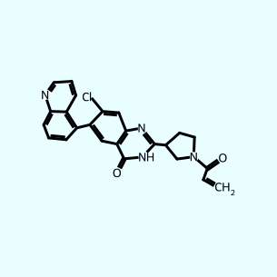 C=CC(=O)N1CCC(c2nc3cc(Cl)c(-c4cccc5ncccc45)cc3c(=O)[nH]2)C1